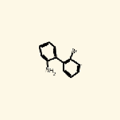 Nc1ccccc1-c1ccc[c]c1Br